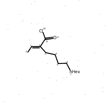 C/C=C(\CCCCCCCCCC)C(=O)Cl